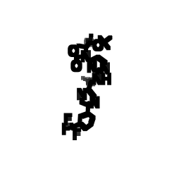 C[C@H](Nc1nccc(N2C(=O)OCC2[C@@H](C)OC(C)(C)C)n1)c1cnc(-c2cccc(C(F)(F)F)c2)cn1